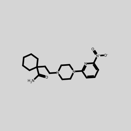 NC(=O)C1(CCN2CCN(c3cccc([N+](=O)[O-])n3)CC2)CCCCC1